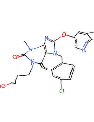 C=C1c2c(nc(Oc3cncc(C)c3)n2Cc2ccc(Cl)cc2)N(C)C(=O)N1CCCO